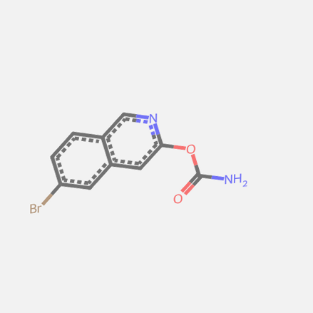 NC(=O)Oc1cc2cc(Br)ccc2cn1